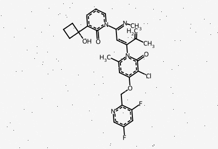 C=C(C)/C(=C\C(=N/C)n1cccc(C2(O)CCC2)c1=O)n1c(C)cc(OCc2ncc(F)cc2F)c(Cl)c1=O